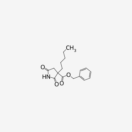 CCCCCC1(C(=O)OCc2ccccc2)CC(=O)NC1=O